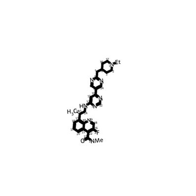 CCN1CCC(Cc2ncc(-c3cc(NC[C@@H](C)c4cccc5c(C(=O)NC)c(F)cnc45)ncn3)cn2)CC1